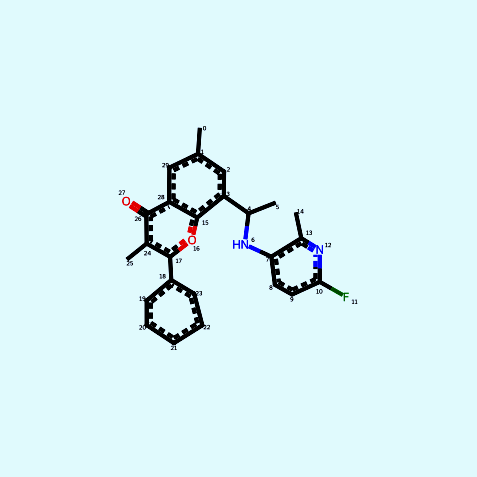 Cc1cc(C(C)Nc2ccc(F)nc2C)c2oc(-c3ccccc3)c(C)c(=O)c2c1